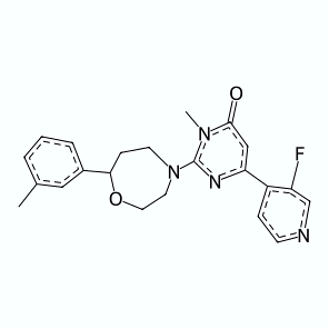 Cc1cccc(C2CCN(c3nc(-c4ccncc4F)cc(=O)n3C)CCO2)c1